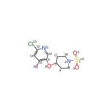 CS(=O)(=O)N1CCC(Oc2cnc(Cl)cc2I)CC1